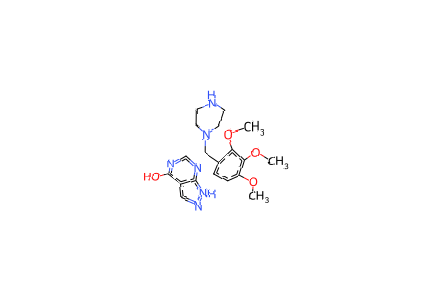 COc1ccc(CN2CCNCC2)c(OC)c1OC.Oc1ncnc2[nH]ncc12